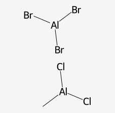 [Br][Al]([Br])[Br].[CH3][Al]([Cl])[Cl]